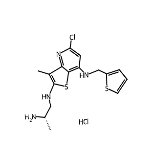 Cc1c(NC[C@H](C)N)sc2c(NCc3cccs3)cc(Cl)nc12.Cl